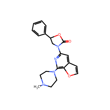 CN1CCN(c2nc(N3CC(c4ccccc4)OC3=O)cc3ccoc23)CC1